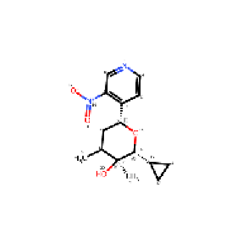 CC1C[C@H](c2ccncc2[N+](=O)[O-])O[C@H](C2CC2)[C@@]1(C)O